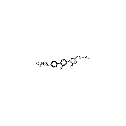 CC(=O)NCC1CN(c2ccc(-c3ccc(/C=C/[N+](=O)[O-])cc3)c(F)c2)C(=O)O1